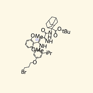 COc1cccc(OC)c1/C(=C/C(=N)C(=O)NC1(C(=O)OC(C)(C)C)C2CC3CC(C2)CC1C3)Nc1ccc(OCCCBr)cc1C(C)C